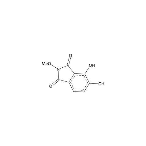 CON1C(=O)c2ccc(O)c(O)c2C1=O